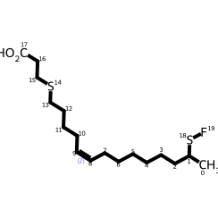 CC(CCCCCC/C=C\CCCCSCCC(=O)O)SF